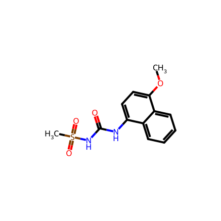 COc1ccc(NC(=O)NS(C)(=O)=O)c2ccccc12